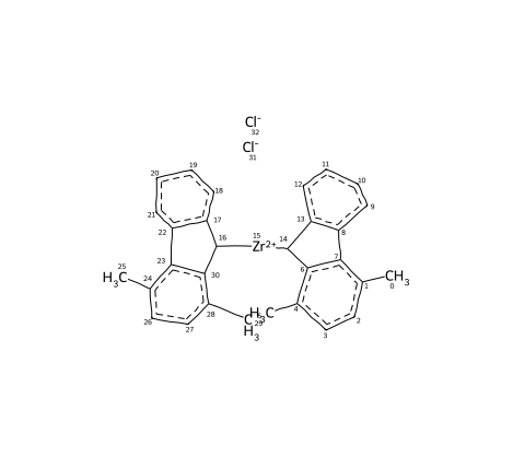 Cc1ccc(C)c2c1-c1ccccc1[CH]2[Zr+2][CH]1c2ccccc2-c2c(C)ccc(C)c21.[Cl-].[Cl-]